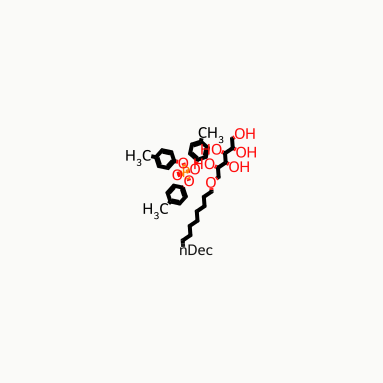 CCCCCCCCCCCCCCCCCCOCC(O)C(O)C(O)C(O)CO.Cc1ccc(OP(=O)(Oc2ccc(C)cc2)Oc2ccc(C)cc2)cc1